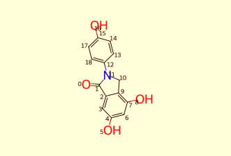 O=C1c2cc(O)cc(O)c2CN1c1ccc(O)cc1